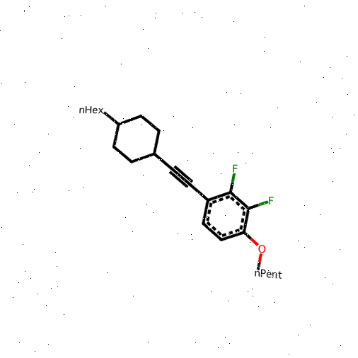 CCCCCCC1CCC(C#Cc2ccc(OCCCCC)c(F)c2F)CC1